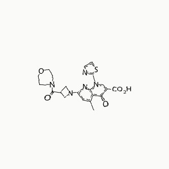 Cc1cc(N2CC(C(=O)N3CCOCC3)C2)nc2c1c(=O)c(C(=O)O)cn2-c1nccs1